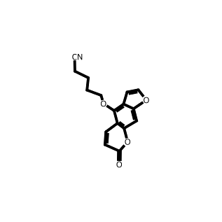 N#CCCCCOc1c2ccoc2cc2oc(=O)ccc12